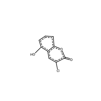 O=c1oc2cccc(O)c2cc1Cl